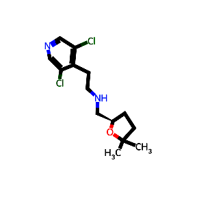 CC1(C)CC[C@H](CNCCc2c(Cl)cncc2Cl)O1